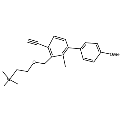 C#Cc1ccc(-c2ccc(OC)cc2)c(C)c1[CH]OCC[Si](C)(C)C